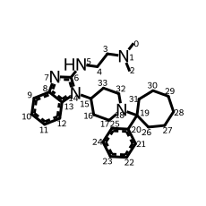 CN(C)CCNc1nc2ccccc2n1C1CCN(C2(c3ccccc3)CCCCCC2)CC1